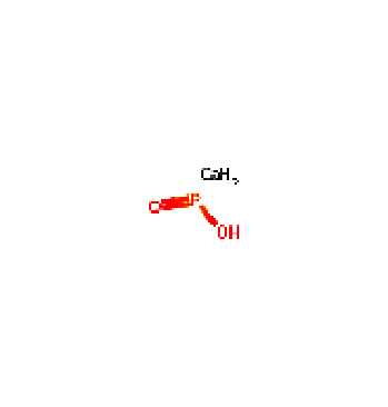 O=PO.[CaH2]